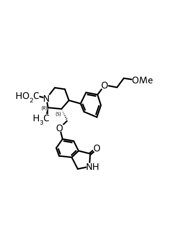 COCCOc1cccc(C2CCN(C(=O)O)[C@H](C)[C@H]2COc2ccc3c(c2)C(=O)NC3)c1